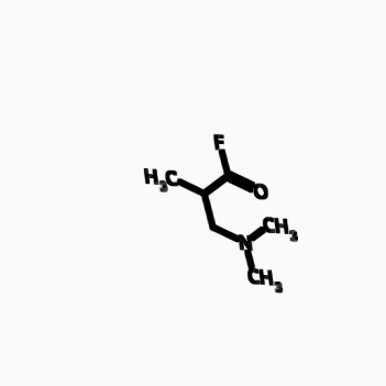 CC(CN(C)C)C(=O)F